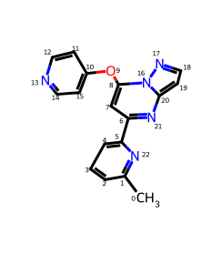 Cc1cccc(-c2cc(Oc3ccncc3)n3nccc3n2)n1